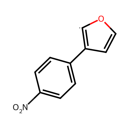 O=[N+]([O-])c1ccc(-c2[c]occ2)cc1